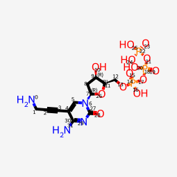 NCC#Cc1cn([C@H]2C[C@@H](O)[C@@H](COP(=O)(O)OP(=O)(O)OP(=O)(O)O)O2)c(=O)nc1N